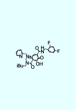 CCC(C)CN1CN(Cc2ccccn2)n2cc(C(=O)NCc3ccc(F)cc3F)c(=O)c(O)c2C1=O